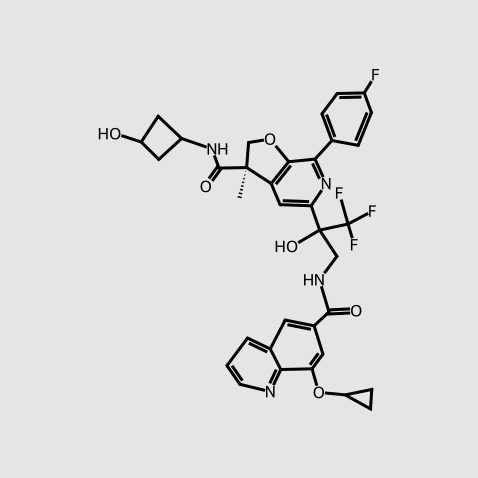 C[C@]1(C(=O)NC2CC(O)C2)COc2c1cc(C(O)(CNC(=O)c1cc(OC3CC3)c3ncccc3c1)C(F)(F)F)nc2-c1ccc(F)cc1